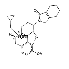 O=C1C2=C(CCCC2)CN1C1CC[C@@]2(O)[C@H]3Cc4ccc(O)c5c4[C@@]2(CCN3CC2CC2)C1O5